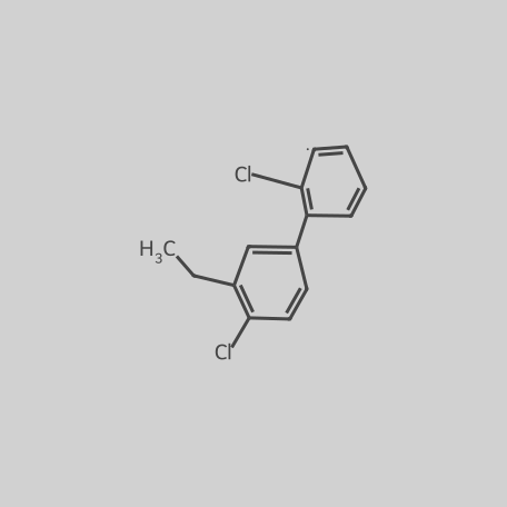 CCc1cc(-c2ccc[c]c2Cl)ccc1Cl